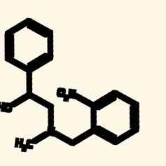 CN(Cc1ccccc1[N+](=O)[O-])CC(O)c1ccccc1